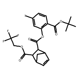 CC(C)(C)OC(=O)c1ccc(I)cc1OC(=O)C1C2C=CC(C2)C1C(=O)OCC(F)(F)F